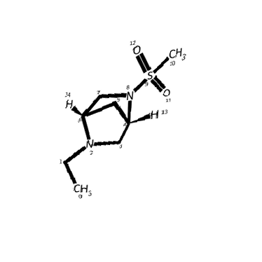 CCN1C[C@@H]2C[C@H]1CN2S(C)(=O)=O